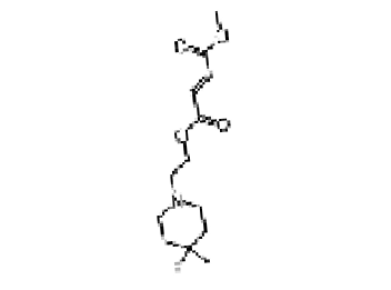 COC(=O)/C=C/C(=O)OCCN1CCC(C)(F)CC1